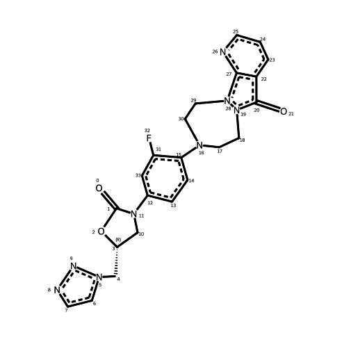 O=C1O[C@@H](Cn2ccnn2)CN1c1ccc(N2CCn3c(=O)c4cccnc4n3CC2)c(F)c1